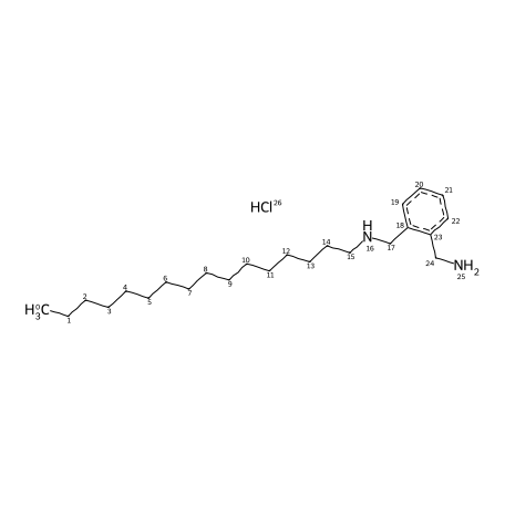 CCCCCCCCCCCCCCCCNCc1ccccc1CN.Cl